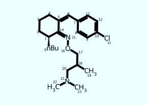 CCCC[C@H]1CCCC(=Cc2ccc(Cl)cc2)C1=NOCC(C)CN(C)C